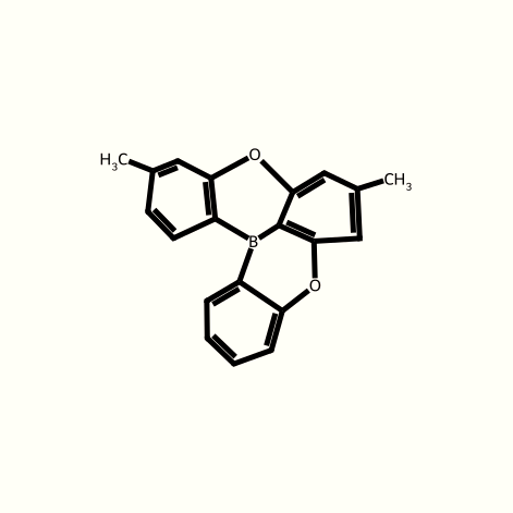 Cc1ccc2c(c1)Oc1cc(C)cc3c1B2c1ccccc1O3